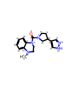 CN1CCN(C(=O)N2CCC(c3cn[nH]c3)C2)c2ccccc21